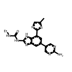 CCNC(=O)Nc1nc2cc(-c3cnc(N)nc3)cc(-c3ncc(C)s3)c2[nH]1